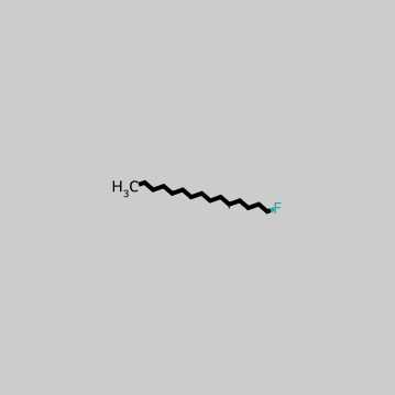 CCCCCCCCCC[CH]CCCCF